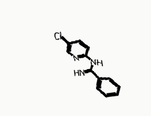 N=C(Nc1ccc(Cl)cn1)c1ccccc1